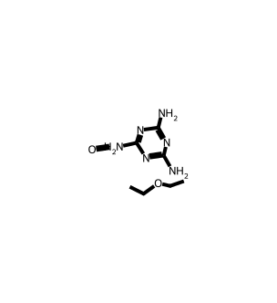 C=O.CCOCC.Nc1nc(N)nc(N)n1